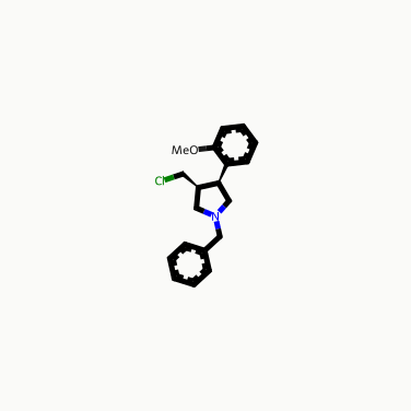 COc1ccccc1[C@H]1CN(Cc2ccccc2)C[C@H]1CCl